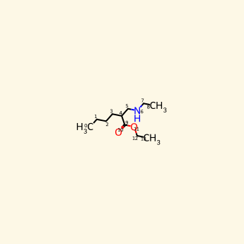 CCCCC(CNCC)C(=O)OCC